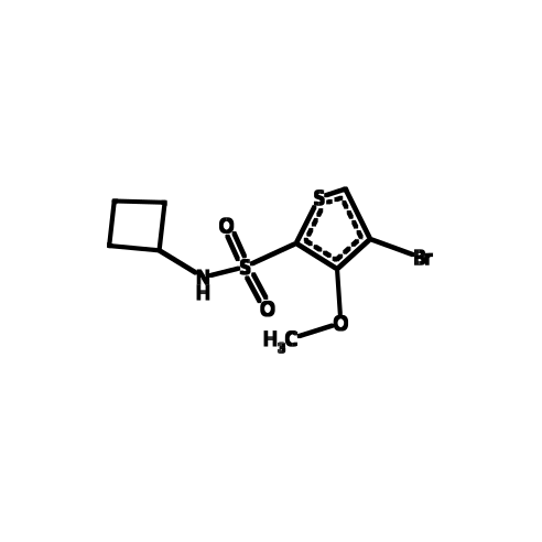 COc1c(Br)csc1S(=O)(=O)NC1CCC1